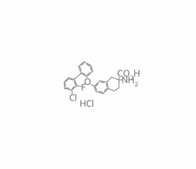 Cl.NC1(C(=O)O)CCc2ccc(Oc3ccccc3-c3cccc(Cl)c3F)cc2C1